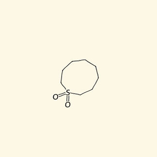 O=S1(=O)CCCCCCCC1